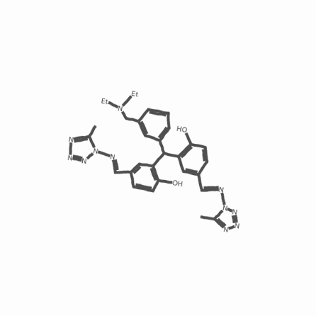 CCN(CC)Cc1cccc(C(c2cc(C=Nn3nnnc3C)ccc2O)c2cc(C=Nn3nnnc3C)ccc2O)c1